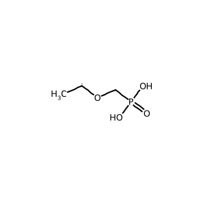 C[CH]OCP(=O)(O)O